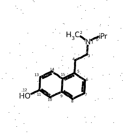 CC(C)N(C)CCc1cccc2cc(O)ccc12